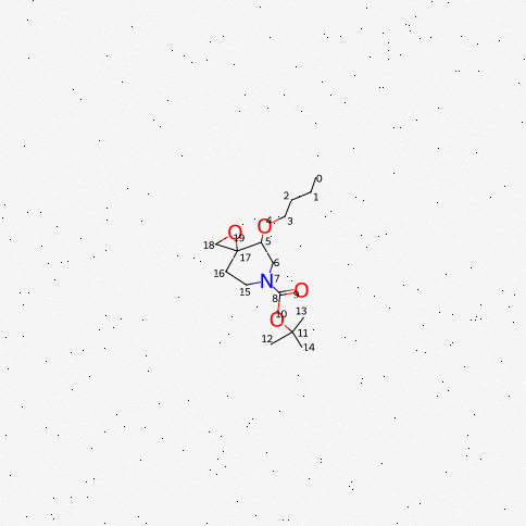 CCCCOC1CN(C(=O)OC(C)(C)C)CCC12CO2